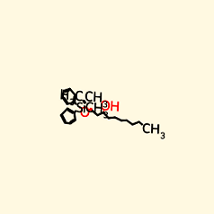 CCCCCCC[C@@H](O)CCO[Si](c1ccccc1)(c1ccccc1)C(C)(C)C